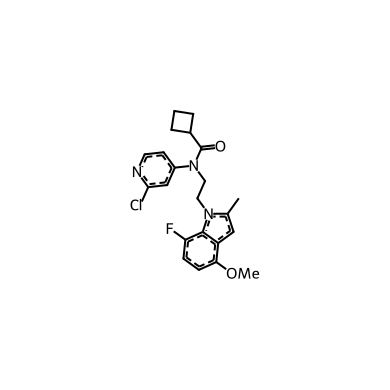 COc1ccc(F)c2c1cc(C)n2CCN(C(=O)C1CCC1)c1ccnc(Cl)c1